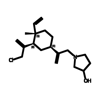 C=C[C@]1(C)CC[C@@H](C(=C)CN2CCC(O)C2)C[C@H]1C(=C)CCl